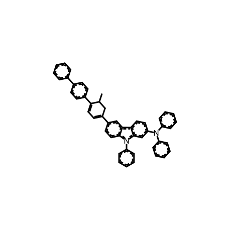 CC1CC(c2ccc3c(c2)c2ccc(N(c4ccccc4)c4ccccc4)cc2n3-c2ccccc2)=CC=C1c1ccc(-c2ccccc2)cc1